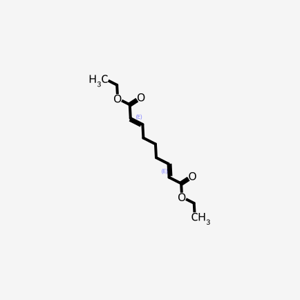 CCOC(=O)/C=C/CCC/C=C/C(=O)OCC